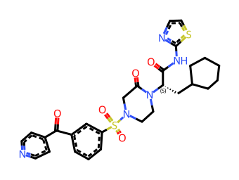 O=C(c1ccncc1)c1cccc(S(=O)(=O)N2CCN([C@@H](CC3CCCCC3)C(=O)Nc3nccs3)C(=O)C2)c1